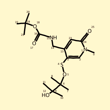 Cn1cc(SOC(C)(C)C(C)(C)O)c(CNC(=O)OC(C)(C)C)cc1=O